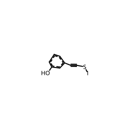 Oc1cccc(C#CSI)c1